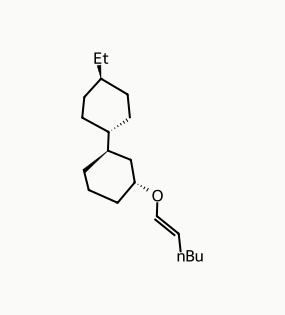 CCCCC=CO[C@@H]1CCC[C@@H]([C@H]2CC[C@H](CC)CC2)C1